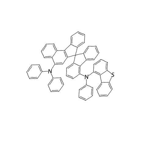 c1ccc(N(c2ccccc2)c2cc3c(c4ccccc24)-c2ccccc2C32c3ccccc3-c3c(N(c4ccccc4)c4cccc5sc6ccccc6c45)cccc32)cc1